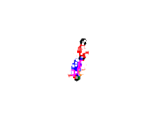 COc1ccc(N(C(=O)n2nnn(-c3c(F)cccc3OC)c2=O)C(C)C)cc1C(=O)OCc1ccccc1